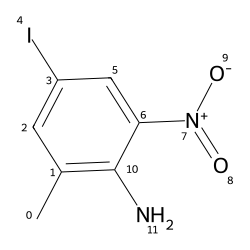 Cc1cc(I)cc([N+](=O)[O-])c1N